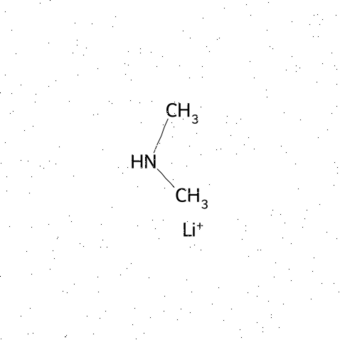 CNC.[Li+]